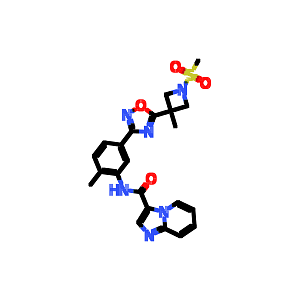 Cc1ccc(-c2noc(C3(C)CN(S(C)(=O)=O)C3)n2)cc1NC(=O)c1cnc2ccccn12